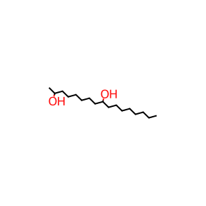 CCCCCCCCC(O)CCCCCCC(C)O